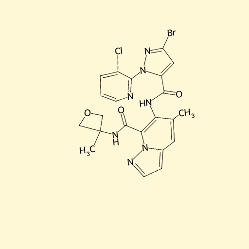 Cc1cc2ccnn2c(C(=O)NC2(C)COC2)c1NC(=O)c1cc(Br)nn1-c1ncccc1Cl